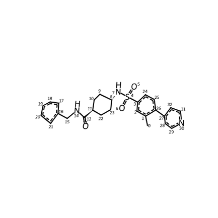 Cc1cc(S(=O)(=O)N[C@H]2CC[C@H](C(=O)NCc3ccccc3)CC2)ccc1-c1ccncc1